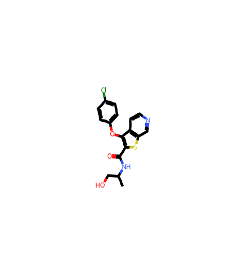 CC(CO)NC(=O)c1sc2cnccc2c1Oc1ccc(Cl)cc1